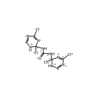 O=C(NC1(Cl)N=C(Cl)N=CN1)NC1(Cl)N=C(Cl)N=CN1